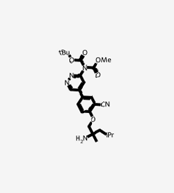 COC(=O)N(C(=O)OC(C)(C)C)c1cc(-c2ccc(OCC(C)(N)CC(C)C)c(C#N)c2)cnn1